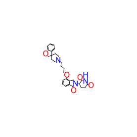 O=C1CCC(N2Cc3c(OCCCCN4CCC5(CC4)COc4ccccc45)cccc3C2=O)C(=O)N1